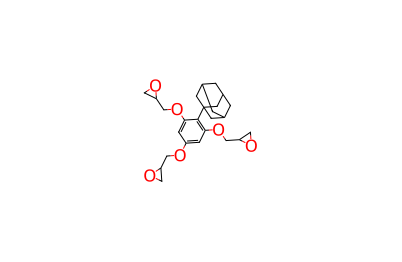 c1c(OCC2CO2)cc(OCC2CO2)c(C23CC4CC(CC(C4)C2)C3)c1OCC1CO1